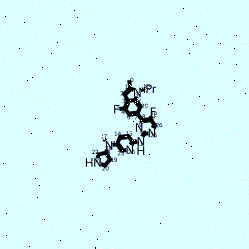 Cc1cc2c(F)cc(-c3nc(Nc4ccc(N(C)C5CCNC5)cn4)ncc3F)cc2n1C(C)C